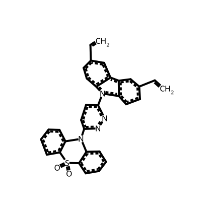 C=Cc1ccc2c(c1)c1cc(C=C)ccc1n2-c1ccc(N2c3ccccc3S(=O)(=O)c3ccccc32)nn1